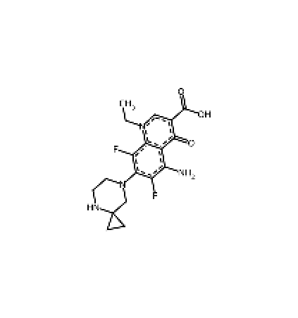 CCn1cc(C(=O)O)c(=O)c2c(N)c(F)c(N3CCNC4(CC4)C3)c(F)c21